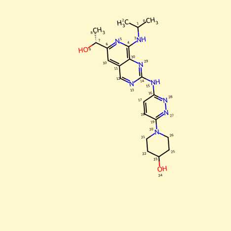 CC(C)Nc1nc([C@@H](C)O)cc2cnc(Nc3ccc(N4CCC(O)CC4)nn3)nc12